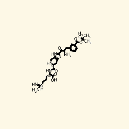 CC(C)(C)OC(=O)c1cccc(CC(N)C(=O)c2nc3c([nH]2)CN[C@H](C(=O)N[C@@H](CCCNC(=N)N)C(=O)O)C3)c1